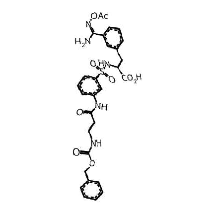 CC(=O)O/N=C(/N)c1cccc(C[C@H](NS(=O)(=O)c2cccc(NC(=O)CCNC(=O)OCc3ccccc3)c2)C(=O)O)c1